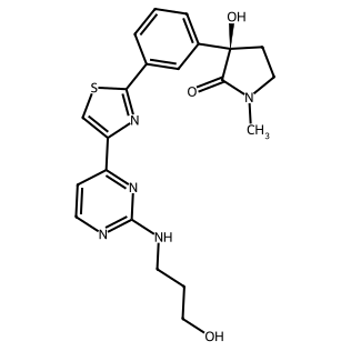 CN1CC[C@@](O)(c2cccc(-c3nc(-c4ccnc(NCCCO)n4)cs3)c2)C1=O